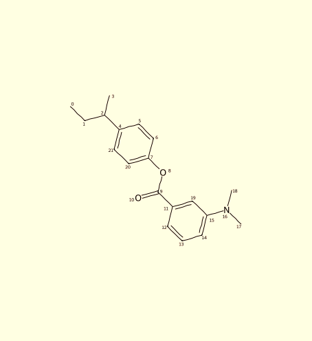 CCC(C)c1ccc(OC(=O)c2cccc(N(C)C)c2)cc1